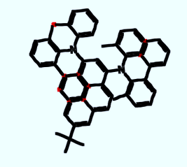 Cc1ccccc1N(c1c(C)cccc1-c1ccccc1)c1cc(N(c2ccccc2C)c2c(C)cccc2-c2ccccc2)c2ccc3cc(C(C)(C)C)cc4ccc1c2c43